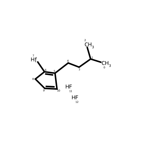 CC(C)CCC1=[C]([Hf])CC=C1.F.F